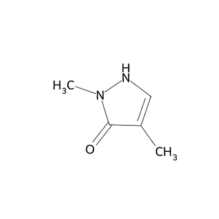 Cc1c[nH]n(C)c1=O